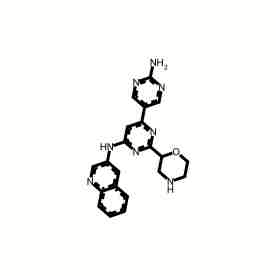 Nc1ncc(-c2cc(Nc3cnc4ccccc4c3)nc(C3CNCCO3)n2)cn1